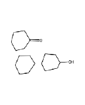 C1CCCCC1.O=C1CCCCC1.OC1CCCCC1